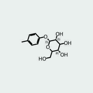 Cc1ccc(O[C@@H]2OC(CO)[C@H](O)C(O)[C@@H]2O)cc1